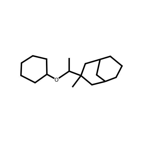 CC(OC1CCCCC1)C1(C)CC2CCCC(C2)C1